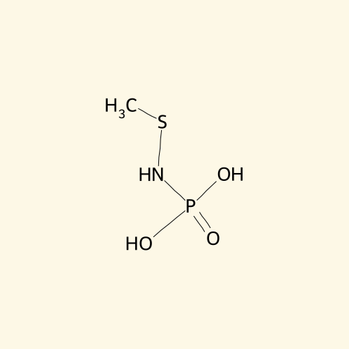 CSNP(=O)(O)O